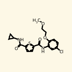 COCCOc1ccc(Cl)cc1NC(=O)c1ccc(C(=O)NC2CC2)s1